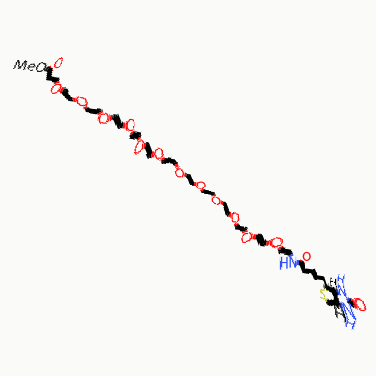 COC(=O)CCOCCOCCOCCOCCOCCOCCOCCOCCOCCOCCOCCOCCNC(=O)CCCC[C@@H]1SC[C@@H]2NC(=O)N[C@@H]21